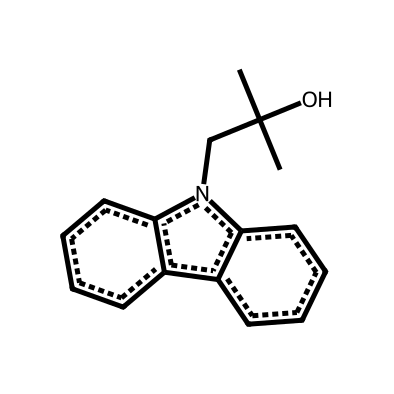 CC(C)(O)Cn1c2ccccc2c2ccccc21